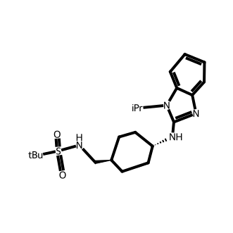 CC(C)n1c(N[C@H]2CC[C@H](CNS(=O)(=O)C(C)(C)C)CC2)nc2ccccc21